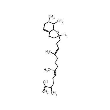 C=C(O)C(C)CC/C=C(\C)CCC/C(C)=C/CCC1(C)CCC2=CCC(C)C(C)C2O1